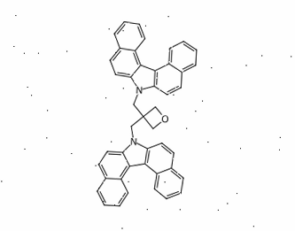 c1ccc2c(c1)ccc1c2c2c3ccccc3ccc2n1CC1(Cn2c3ccc4ccccc4c3c3c4ccccc4ccc32)COC1